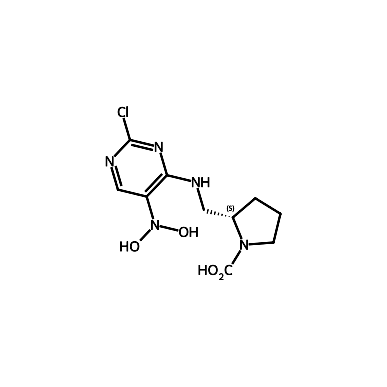 O=C(O)N1CCC[C@H]1CNc1nc(Cl)ncc1N(O)O